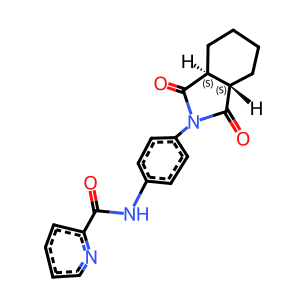 O=C(Nc1ccc(N2C(=O)[C@H]3CCCC[C@@H]3C2=O)cc1)c1ccccn1